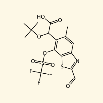 Cc1cc2nc(C=O)sc2c(OS(=O)(=O)C(F)(F)F)c1C(OC(C)(C)C)C(=O)O